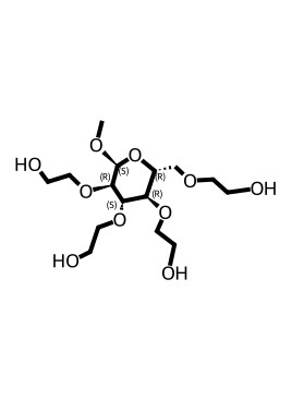 CO[C@H]1O[C@H](COCCO)[C@@H](OCCO)[C@H](OCCO)[C@H]1OCCO